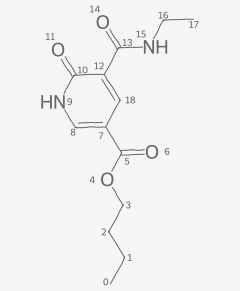 CCCCOC(=O)c1c[nH]c(=O)c(C(=O)NCC)c1